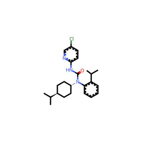 CC(C)c1ccccc1N(C(=O)Nc1ccc(Cl)cn1)[C@H]1CC[C@H](C(C)C)CC1